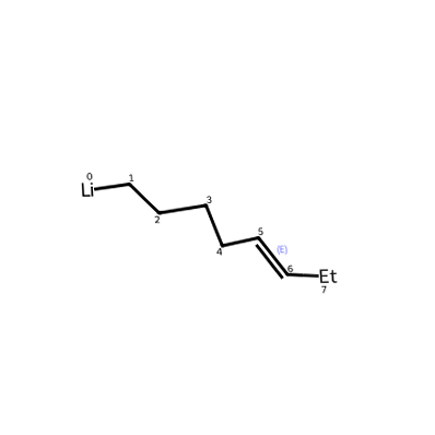 [Li][CH2]CCC/C=C/CC